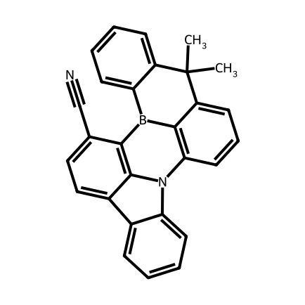 CC1(C)c2ccccc2B2c3c(cccc31)-n1c3ccccc3c3ccc(C#N)c2c31